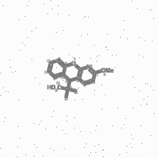 COc1ccc2c(n1)Oc1ccccc1C2C(C)(C)C(=O)O